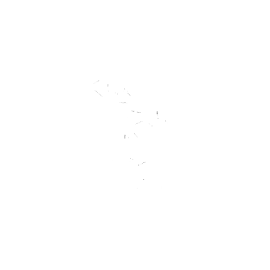 Cc1c(-c2cc(NC(N)=O)c(C(=O)N[C@H]3C[C@H](F)CN(C(=O)OC(C)(C)C)C3)s2)cnn1-c1ccccc1